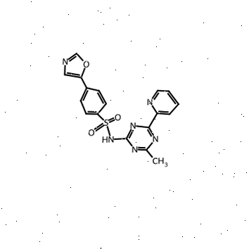 Cc1nc(NS(=O)(=O)c2ccc(-c3cnco3)cc2)nc(-c2ccccn2)n1